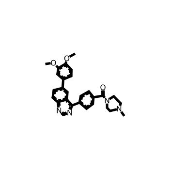 COc1ccc(-c2ccc3ncnc(-c4ccc(C(=O)N5CCN(C)CC5)cc4)c3c2)cc1OC